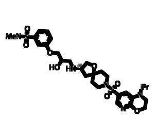 CNS(=O)(=O)c1cccc(OCC(O)CN[C@H]2COC3(CCN(S(=O)(=O)c4cnc5c(c4)N(C(C)C)CCO5)CC3)C2)c1